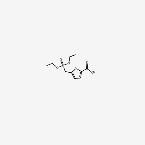 CCOP(=O)(Cc1ccc(C(=O)O)s1)OCC